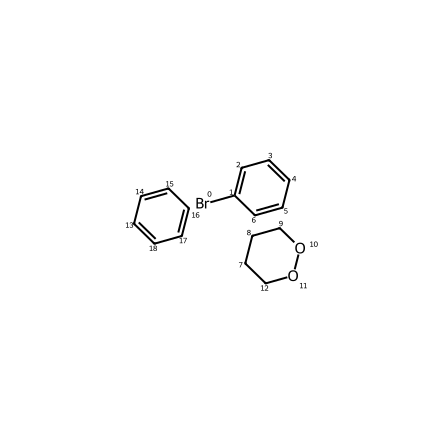 Brc1ccccc1.C1CCOOC1.c1ccccc1